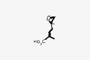 CC(=CC[C@@H]1CO1)C(=O)O